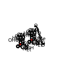 C(COCCOCC1CO1)OCCOCC1CO1.CC[C@]1(O)C[C@@H]2C[N@@](CCc3c([nH]c4ccccc34)[C@@](C(=O)OC)(c3cc4c(cc3OC)N(C)[C@H]3[C@@](O)(C(=O)OC)[C@H](OC(C)=O)[C@]5(CC)C=CCN6CC[C@]43[C@@H]65)C2)C1.CC[C@]1(O)C[C@H]2C[N@](CCc3c([nH]c4ccccc34)[C@@](C(=O)OC)(c3cc4c(cc3OC)N(C=O)[C@H]3[C@@](O)(C(=O)OC)[C@H](OC(C)=O)[C@]5(CC)C=CCN6CC[C@]43[C@@H]65)C2)C1